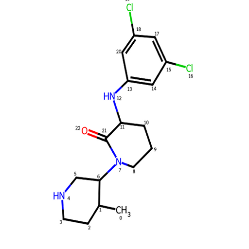 CC1CCNCC1N1CCCC(Nc2cc(Cl)cc(Cl)c2)C1=O